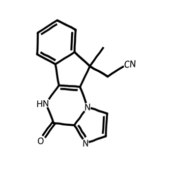 CC1(CC#N)c2ccccc2-c2[nH]c(=O)c3nccn3c21